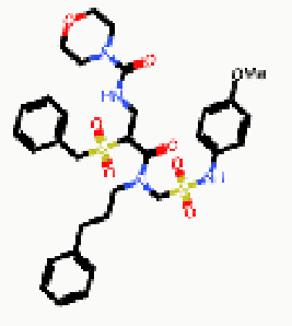 COc1ccc(NS(=O)(=O)CN(CCCc2ccccc2)C(=O)C(CNC(=O)N2CCOCC2)S(=O)(=O)Cc2ccccc2)cc1